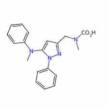 CN(Cc1cc(N(C)c2ccccc2)n(-c2ccccc2)n1)C(=O)O